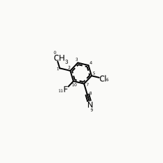 CCc1ccc(Cl)c(C#N)c1F